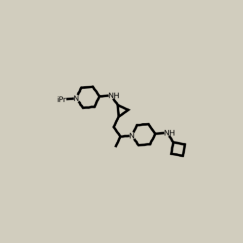 CC(C)N1CCC(NC2CC2CC(C)N2CCC(NC3CCC3)CC2)CC1